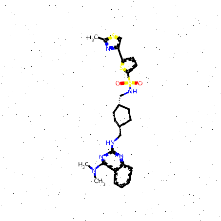 Cc1nc(-c2ccc(S(=O)(=O)NC[C@H]3CC[C@H](CNc4nc(N(C)C)c5ccccc5n4)CC3)s2)cs1